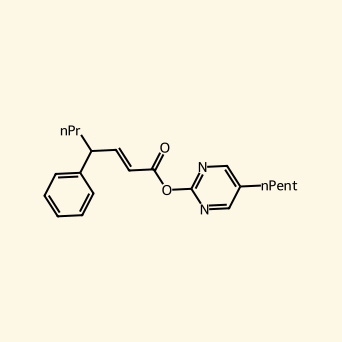 CCCCCc1cnc(OC(=O)/C=C/C(CCC)c2ccccc2)nc1